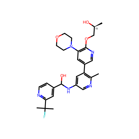 Cc1ncc(NC(O)c2ccnc(C(C)(C)F)c2)cc1-c1cnc(OC[C@H](C)O)c(N2CCOCC2)c1